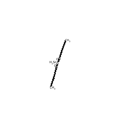 CCCCCCCCCCCCCCCCCCOC(=O)CCSCCC(=O)OCCCCCCCCCCCCCCCCCC.[SnH2]